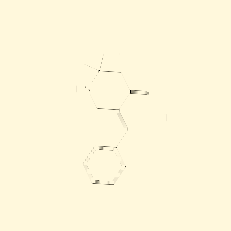 CC1(C)CC(=O)/C(=C/c2ccccc2)CN1.Cl